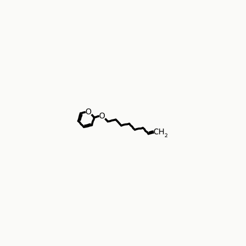 C=CCCCCCCOC1C=CC=CO1